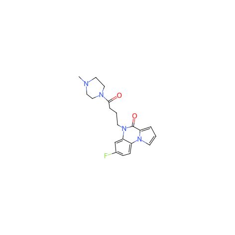 CN1CCN(C(=O)CCCn2c(=O)c3cccn3c3ccc(F)cc32)CC1